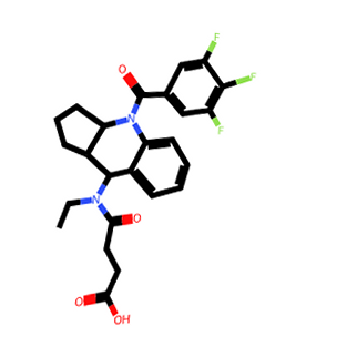 CCN(C(=O)CCC(=O)O)C1c2ccccc2N(C(=O)c2cc(F)c(F)c(F)c2)C2CCCC12